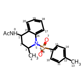 CC(=O)NC1CC(C)N(S(=O)(=O)c2ccc(C)cc2)c2ccccc21